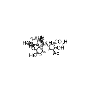 CC(=O)c1cccc(C(=O)O)c1O.CN1CC[C@]23c4c5ccc(O)c4O[C@H]2[C@@H](O)C=C[C@H]3[C@H]1C5